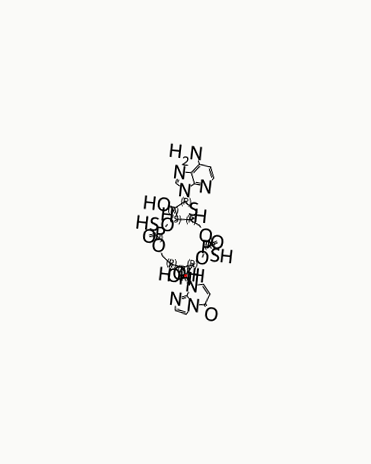 Nc1ccnc2c1ncn2[C@@H]1S[C@@H]2CO[P@@](=O)(S)O[C@@H]3[C@H](O)[C@@H](CO[P@](=O)(S)O[C@H]2[C@H]1O)O[C@H]3n1ccc(=O)n2ccnc12